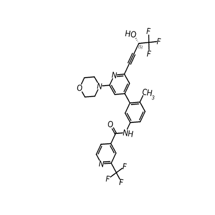 Cc1ccc(NC(=O)c2ccnc(C(F)(F)F)c2)cc1-c1cc(C#C[C@H](O)C(F)(F)F)nc(N2CCOCC2)c1